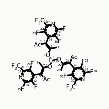 CC(=O)/C(=C(/C)[O][Fe]([O]/C(C)=C(\C(C)=O)c1c(F)c(F)nc(C(F)(F)F)c1F)[O]/C(C)=C(\C(C)=O)c1c(F)c(F)nc(C(F)(F)F)c1F)c1c(F)c(F)nc(C(F)(F)F)c1F